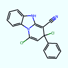 N#CC1=C2Nc3ccccc3N2C(Cl)=CC1(Cl)c1ccccc1